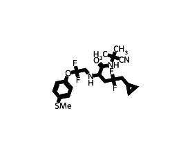 CSc1ccc(OC(F)(F)CNC(CC(F)(F)CC2CC2)C(=O)NC(C)(C)C#N)cc1